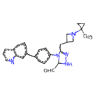 O=CC1NN=C(CC2CN(C3(C=O)CC3)C2)N1c1ccc(-c2ccc3cccnc3c2)cc1